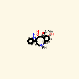 COC(=O)[C@@H]1[C@H]2C[C@H](O)c3[nH]c4ccccc4c3CCN(C#N)C[C@@H]2CC[C@@H]1O